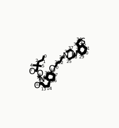 CCCC(C)(C)C(=O)OCn1c(=O)ccc2ccc(OCCCCN3CCN(c4cccc5sccc45)CC3)cc21